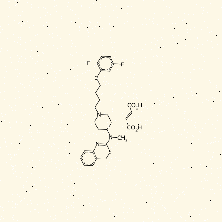 CN(C1=Nc2ccccc2CS1)C1CCN(CCCCOc2cc(F)ccc2F)CC1.O=C(O)/C=C/C(=O)O